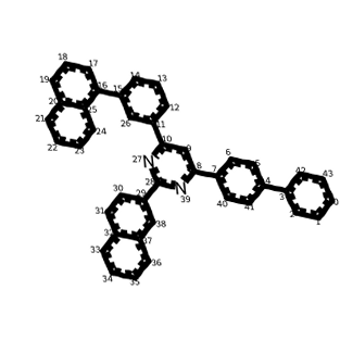 c1ccc(-c2ccc(-c3cc(-c4cccc(-c5cccc6ccccc56)c4)nc(-c4ccc5ccccc5c4)n3)cc2)cc1